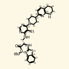 CCc1c(NC[C@H](Nc2nc3ccccc3s2)C(=O)OC(C)(C)C)ncnc1N1CCC(c2ccc3c(n2)NCCC3)CC1